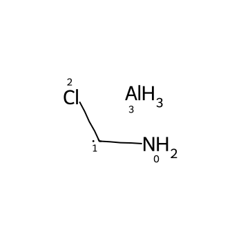 N[CH]Cl.[AlH3]